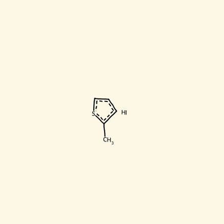 Cc1cccs1.I